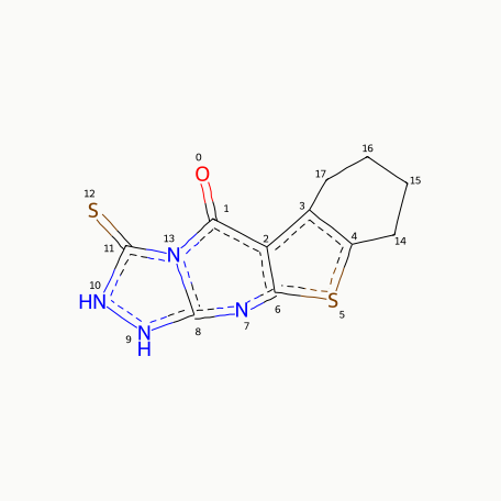 O=c1c2c3c(sc2nc2[nH][nH]c(=S)n12)CCCC3